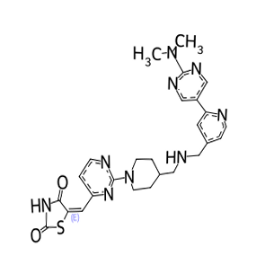 CN(C)c1ncc(-c2cc(CNCC3CCN(c4nccc(/C=C5/SC(=O)NC5=O)n4)CC3)ccn2)cn1